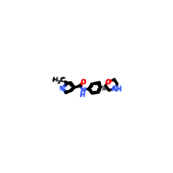 Cc1cc(C(=O)Nc2ccc([C@H]3CNCCO3)cc2)ccn1